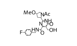 COC1CC(c2nc(C(=O)NCc3ccc(F)cc3)c(CO)c(=O)[nH]2)N(C(C)=O)C1